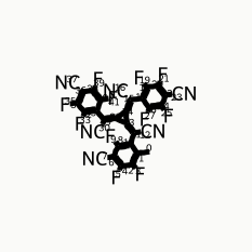 Cc1c(F)c(F)c(C#N)c(F)c1/C(C#N)=C1/C(=C(C#N)c2c(F)c(F)c(C#N)c(F)c2F)/C1=C(/C#N)c1c(F)c(F)c(C#N)c(F)c1F